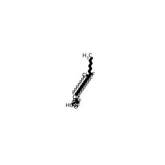 CCCCCCCC(F)C(F)(Cl)C(F)(F)C(F)(F)C(F)(F)C(F)(F)C(F)(F)C(F)(F)C(F)(F)OC(F)(F)C(F)(F)S(=O)(=O)O